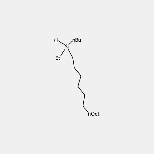 CCCCCCCCCCCCCC[Si](Cl)(CC)CCCC